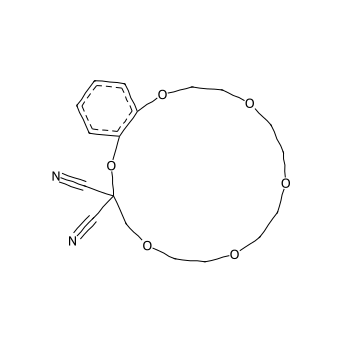 N#CC1(C#N)COCCOCCOCCOCCOc2ccccc2O1